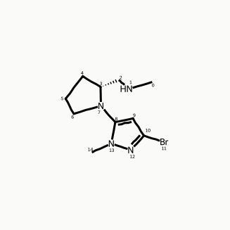 CNC[C@H]1CCCN1c1cc(Br)nn1C